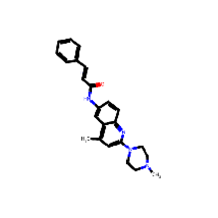 Cc1cc(N2CCN(C)CC2)nc2ccc(NC(=O)/C=C/c3ccccc3)cc12